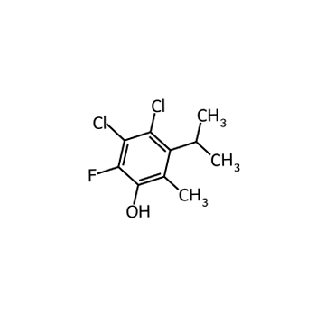 Cc1c(O)c(F)c(Cl)c(Cl)c1C(C)C